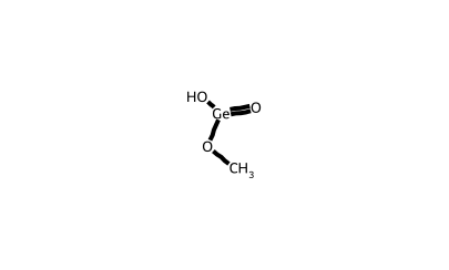 C[O][Ge](=[O])[OH]